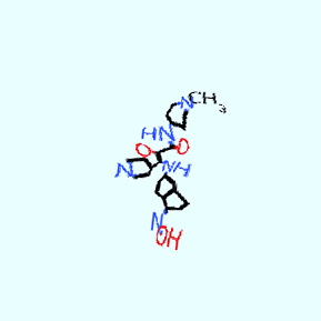 CN1CCC(NC(=O)c2oc3cnccc3c2Nc2ccc3c(c2)CCC3=NO)CC1